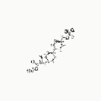 CC(C)(C)OC(=O)n1cc2ccc(-c3ccc(COS(C)(=O)=O)nc3)cc2c1